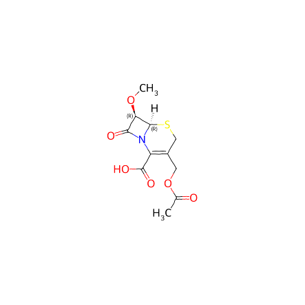 CO[C@@H]1C(=O)N2C(C(=O)O)=C(COC(C)=O)CS[C@H]12